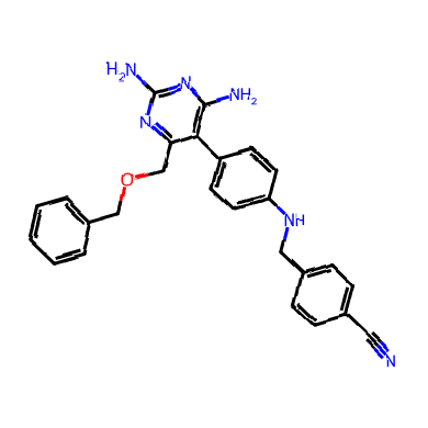 N#Cc1ccc(CNc2ccc(-c3c(N)nc(N)nc3COCc3ccccc3)cc2)cc1